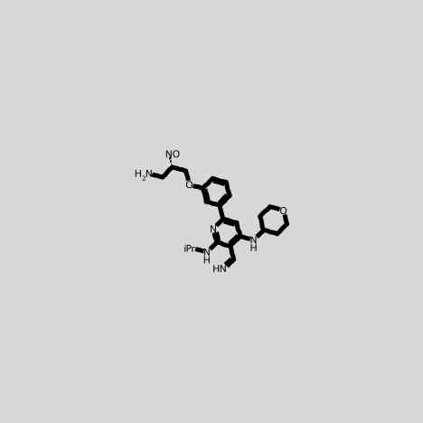 CC(C)Nc1nc(-c2cccc(OC[C@H](CN)N=O)c2)cc(NC2CCOCC2)c1C=N